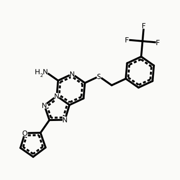 Nc1nc(SCc2cccc(C(F)(F)F)c2)cc2nc(-c3ccco3)nn12